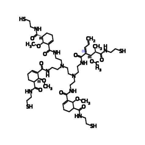 C=C/C=C(/C(=O)NCCN(CCNC(=O)C1=CCCC(C(=O)NCCS)C1OC)CCN(CCNC(=O)C1=CCC[C@@H](C(=O)NCCS)C1OC)CCNC(=O)C1=CCCC(C(=O)NCCS)[C@@H]1OC)[C@@H](OC)C(C)C(=O)NCCS